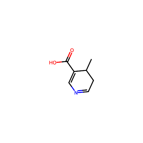 CC1CC=NC=C1C(=O)O